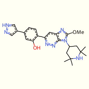 COc1nc2cc(-c3ccc(-c4cn[nH]c4)cc3O)nnc2n1C1CC(C)(C)NC(C)(C)C1